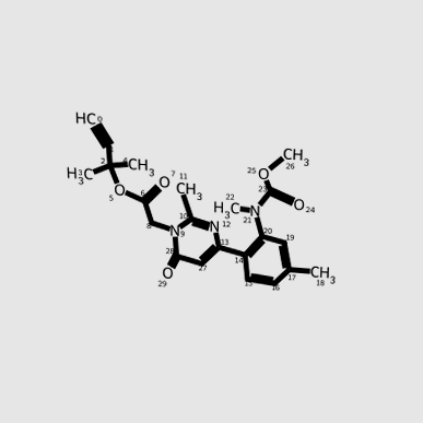 C#CC(C)(C)OC(=O)Cn1c(C)nc(-c2ccc(C)cc2N(C)C(=O)OC)cc1=O